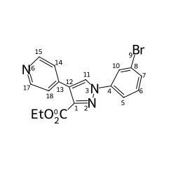 CCOC(=O)c1nn(-c2cccc(Br)c2)cc1-c1ccncc1